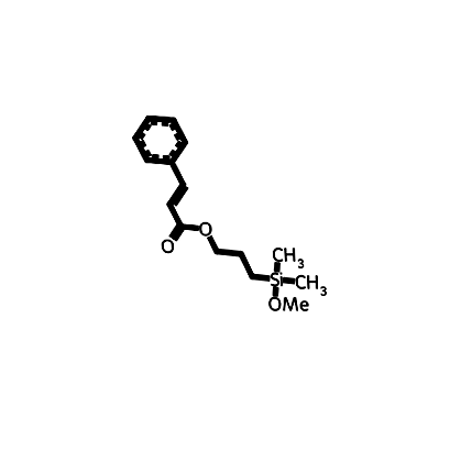 CO[Si](C)(C)CCCOC(=O)C=Cc1ccccc1